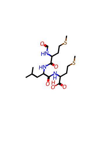 CSCCC(NC(=O)C(CC(C)C)NC(=O)C(CCSC)NC=O)C(=O)O